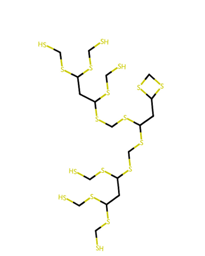 SCSC(CC(SCS)SCSC(CC1SCS1)SCSC(CC(SCS)SCS)SCS)SCS